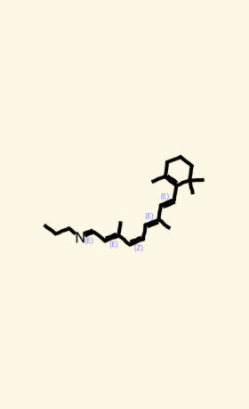 CCC/N=C/C=C(C)/C=C\C=C(C)\C=C\C1=C(C)CCCC1(C)C